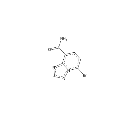 NC(=O)c1ccc(Br)n2n[c]nc12